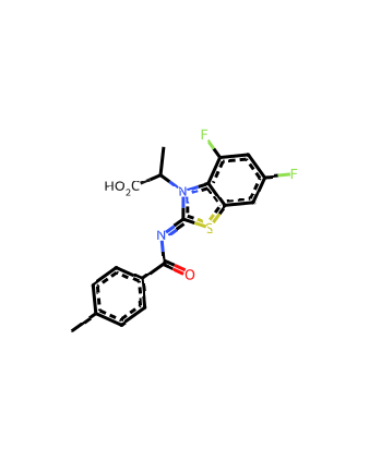 Cc1ccc(C(=O)N=c2sc3cc(F)cc(F)c3n2C(C)C(=O)O)cc1